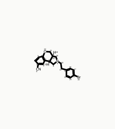 N#Cc1ccc2c(c1)[C@H]1CN(CCc3ccc(Br)cc3)C[C@@H]1CO2